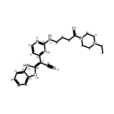 CCN1CCN(C(=O)CCCNc2nccc(/C(C#N)=C3\Nc4ccccc4O3)n2)CC1